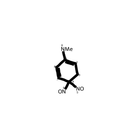 CNC1=CCC(N=O)(N=O)C=C1